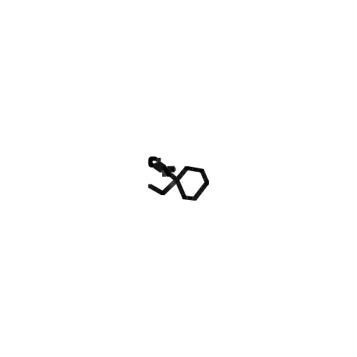 [C-]#[N+]C1(CC)CCCCC1